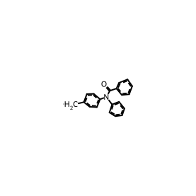 [CH2]c1ccc(N(C(=O)c2ccccc2)c2ccccc2)cc1